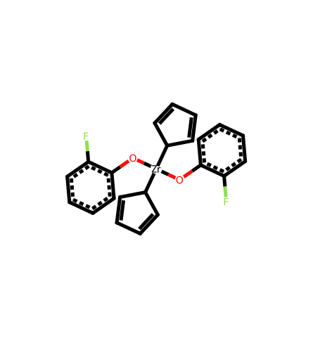 Fc1ccccc1[O][Zr]([O]c1ccccc1F)([CH]1C=CC=C1)[CH]1C=CC=C1